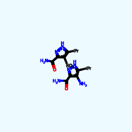 CC(C)c1[nH]nc(C(N)=O)c1N.CC(C)c1[nH]nc(C(N)=O)c1[N+](=O)[O-]